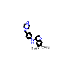 COc1cc2nccc(Nc3ccc(CN4CCN(C)CC4)cc3)c2cc1OC